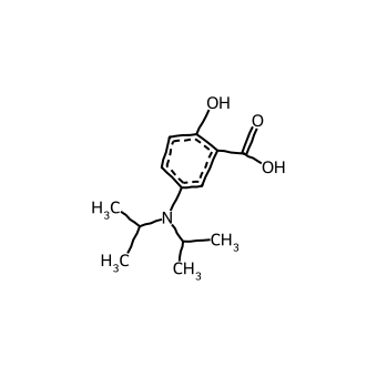 CC(C)N(c1ccc(O)c(C(=O)O)c1)C(C)C